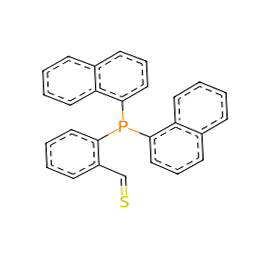 S=Cc1ccccc1P(c1cccc2ccccc12)c1cccc2ccccc12